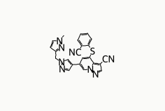 Cn1ccc(Cn2cc(-c3cc(Sc4ccccc4C#N)c4c(C#N)cnn4c3)cn2)n1